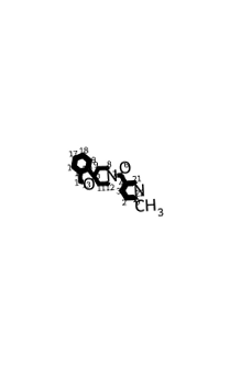 Cc1ccc(C(=O)N2CCC3(CC2)OCc2ccccc23)cn1